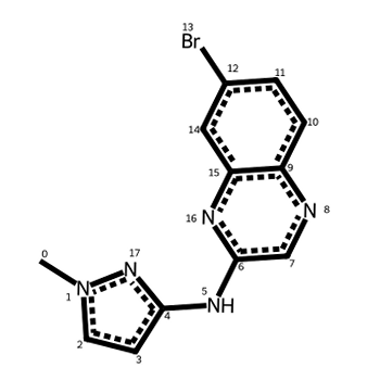 Cn1ccc(Nc2cnc3ccc(Br)cc3n2)n1